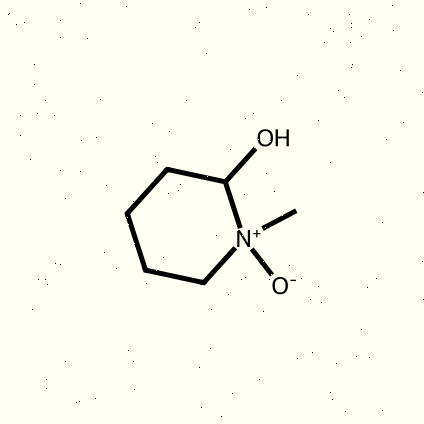 C[N+]1([O-])CCCCC1O